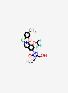 CCn1c(CO)nn(-c2cc(OC(CF)C(F)F)c3c(Oc4cc(C)ccc4Cl)nccc3c2)c1=O